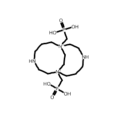 O=P(O)(O)C[N+]12CCCNCC[N+](CP(=O)(O)O)(CCCNCC1)CC2